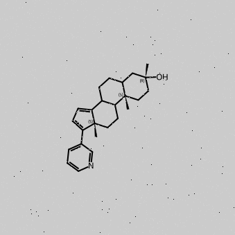 C[C@@]1(O)CC[C@@]2(C)C(CCC3C4=CC=C(c5cccnc5)[C@@]4(C)CCC32)C1